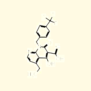 CCc1ccnc2c1c(O)c(C(=O)O)c(=O)n2Cc1ccc(C(F)(F)F)cc1